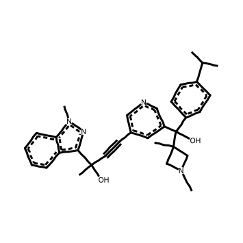 CC(C)c1ccc(C(O)(c2cncc(C#CC(C)(O)c3nn(C)c4ccccc34)c2)C2(C)CN(C)C2)cc1